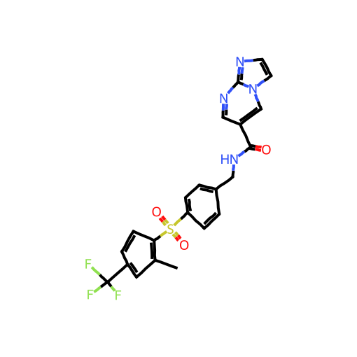 Cc1cc(C(F)(F)F)ccc1S(=O)(=O)c1ccc(CNC(=O)c2cnc3nccn3c2)cc1